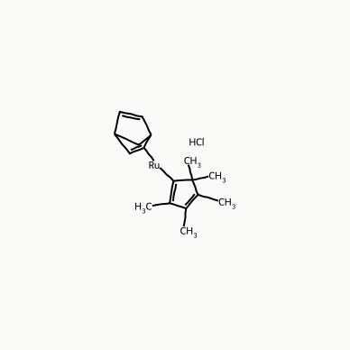 CC1=C(C)C(C)(C)[C]([Ru][C]2=CC3C=CC2C3)=C1C.Cl